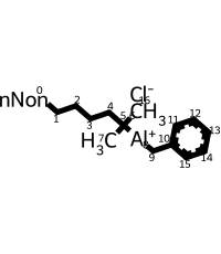 CCCCCCCCCCCCC[C](C)(C)[Al+][CH2]c1ccccc1.[Cl-]